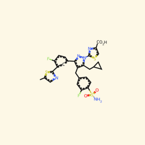 Cc1cnc(-c2cc(-c3nn(-c4nc(C(=O)O)cs4)c(CC4CC4)c3Cc3ccc(S(N)(=O)=O)c(F)c3)ccc2F)s1